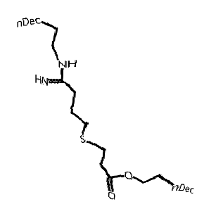 CCCCCCCCCCCCNC(=N)CCCSCCC(=O)OCCCCCCCCCCCC